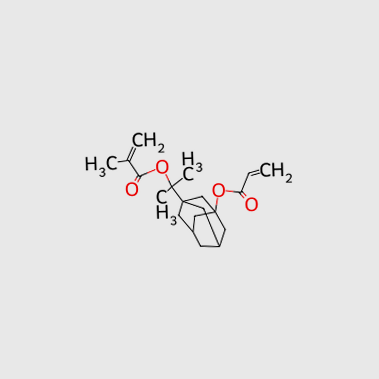 C=CC(=O)OC12CC3CC(C1)CC(C(C)(C)OC(=O)C(=C)C)(C3)C2